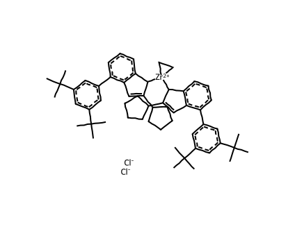 CC(C)(C)c1cc(-c2cccc3c2C=C(C2CCCC2)[CH]3[Zr+2]2([CH]3C(C4CCCC4)=Cc4c(-c5cc(C(C)(C)C)cc(C(C)(C)C)c5)cccc43)[CH2][CH2]2)cc(C(C)(C)C)c1.[Cl-].[Cl-]